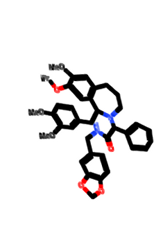 COc1ccc(CC2c3cc(OC(C)C)c(OC)cc3CCCN2C(C(=O)NCc2ccc3c(c2)OCO3)c2ccccc2)cc1OC